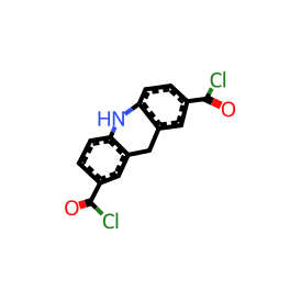 O=C(Cl)c1ccc2c(c1)Cc1cc(C(=O)Cl)ccc1N2